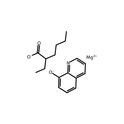 CCCCC(CC)C(=O)[O-].[Mg+2].[O-]c1cccc2cccnc12